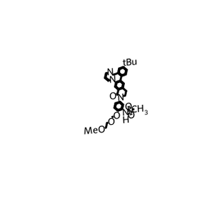 COCCOCOc1ccc(N2CCc3cc(-c4ccc(C(C)(C)C)cc4-c4ncccn4)ccc3C2=O)cc1NS(C)(=O)=O